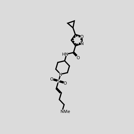 CNCCC=CS(=O)(=O)N1CCC(NC(=O)c2cc(C3CC3)on2)CC1